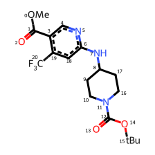 COC(=O)c1cnc(NC2CCN(C(=O)OC(C)(C)C)CC2)cc1C(F)(F)F